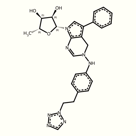 C[C@H]1O[C@@H](n2cc(-c3ccccc3)c3c2N=CN(Nc2ccc(CCn4ncnn4)cc2)C3)[C@H](O)[C@@H]1O